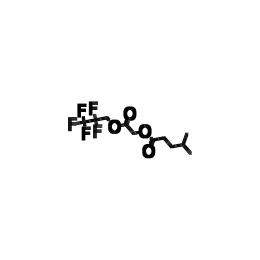 CC(C)CCC(=O)OCC(=O)OCC(F)(F)C(F)(F)F